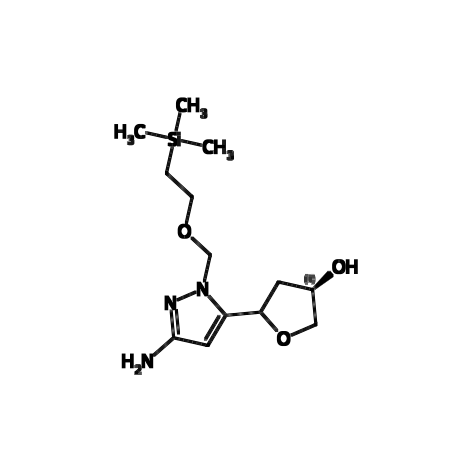 C[Si](C)(C)CCOCn1nc(N)cc1C1C[C@@H](O)CO1